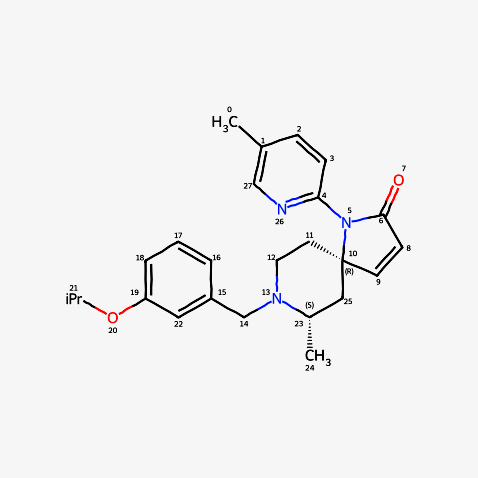 Cc1ccc(N2C(=O)C=C[C@]23CCN(Cc2cccc(OC(C)C)c2)[C@@H](C)C3)nc1